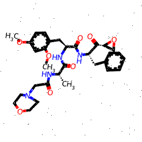 COc1ccc(C[C@H](NC(=O)[C@H](C)NC(=O)CN2CCOCC2)C(=O)N[C@@H](Cc2ccccc2)C(=O)[C@H]2CO2)c(OC)c1